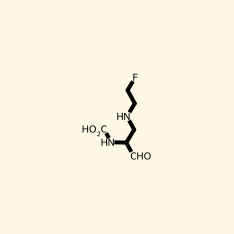 O=CC(CNCCF)NC(=O)O